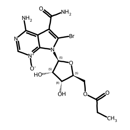 CCC(=O)OC[C@@H]1O[C@H](n2c(Br)c(C(N)=O)c3c(N)nc[n+]([O-])c32)[C@@H](O)[C@H]1O